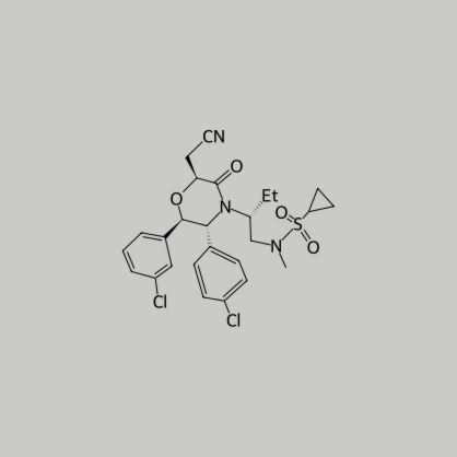 CC[C@H](CN(C)S(=O)(=O)C1CC1)N1C(=O)[C@H](CC#N)O[C@H](c2cccc(Cl)c2)[C@H]1c1ccc(Cl)cc1